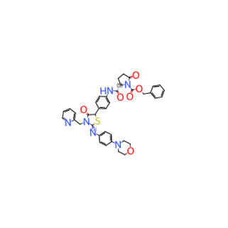 O=C(Nc1ccc(C2S/C(=N\c3ccc(N4CCOCC4)cc3)N(Cc3ccccn3)C2=O)cc1)[C@@H]1CCC(=O)N1C(=O)OCc1ccccc1